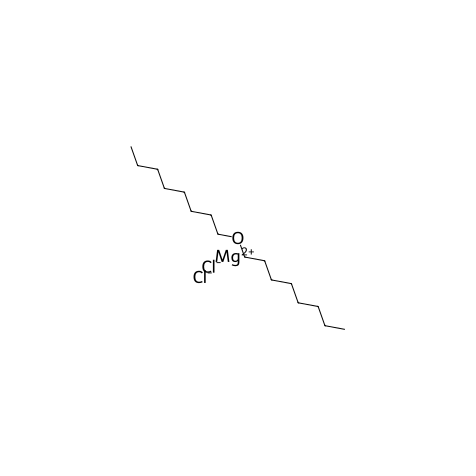 CCCCCCCCOCCCCCCCC.[Cl-].[Cl-].[Mg+2]